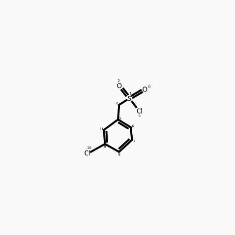 O=S(=O)(Cl)Cc1cccc(Cl)c1